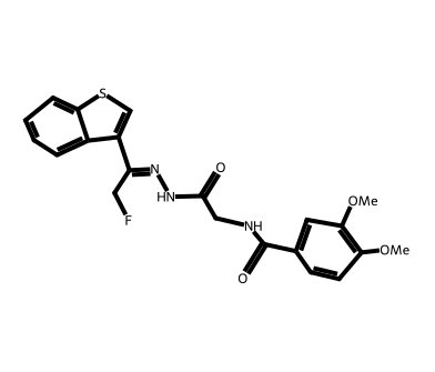 COc1ccc(C(=O)NCC(=O)N/N=C(\CF)c2csc3ccccc23)cc1OC